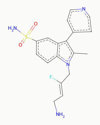 Cc1c(-c2ccncc2)c2cc(S(N)(=O)=O)ccc2n1CC(F)=CCN